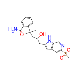 CC(C)(CC(O)Cc1cc2cc(S(C)(=O)=O)ncc2[nH]1)c1ccccc1C(N)=O